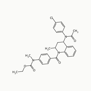 CCOC(=O)N(C)c1ccc(C(=O)N2c3ccccc3C(N(C(C)=O)c3ccc(Cl)cc3)CC2C)cc1